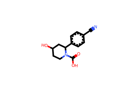 N#Cc1ccc(C2CC(O)CCN2C(=O)O)cc1